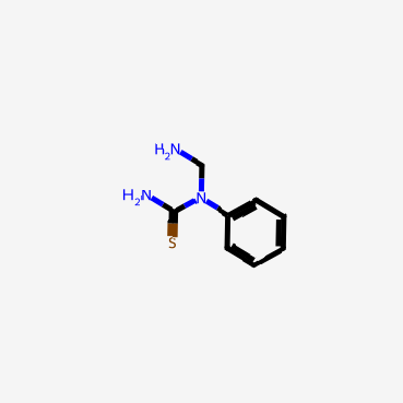 NCN(C(N)=S)c1ccccc1